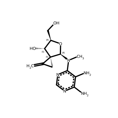 C=C1C[C@@]12[C@H](O)[C@@H](CO)O[C@H]2N(C)c1ncnc(N)c1N